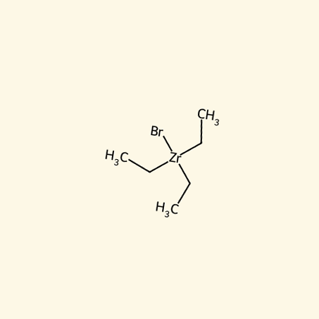 C[CH2][Zr]([Br])([CH2]C)[CH2]C